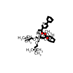 CC(C)(C)OC(=O)N1C2CC[C@@H]1CC(c1cc(N(COCC[Si](C)(C)C)COCC[Si](C)(C)C)n3ncc(-c4ccc(-c5ccccc5)nc4)c3n1)C2